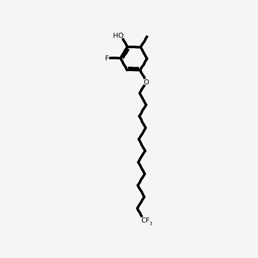 CC1CC(OCCCCCCCCCCCC(F)(F)F)=CC(F)=C1O